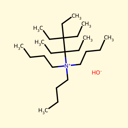 CCCC[N+](CCCC)(CCCC)C(CC)(CC)C(CC)(CC)CC.[OH-]